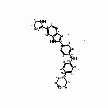 c1cc(-c2cc3ccc(C4=NCCN4)cc3[nH]2)ccc1Nc1ccc(N2CCOCC2)cc1